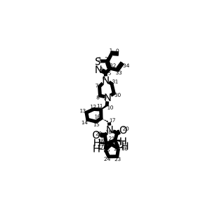 C=Cc1snc(N2CCN(C[C@@H]3CCCC[C@H]3CN3C(=O)[C@@H]4[C@H]5CC[C@H](C5)[C@@H]4C3=O)CC2)c1C=C